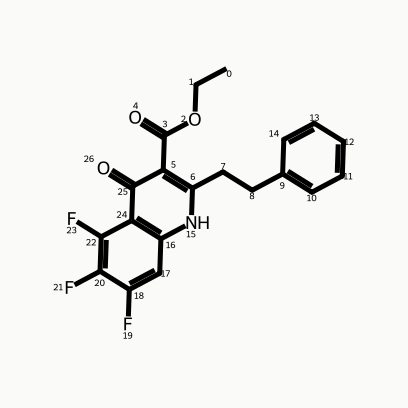 CCOC(=O)c1c(CCc2ccccc2)[nH]c2cc(F)c(F)c(F)c2c1=O